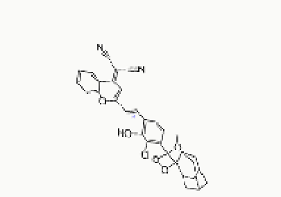 COC1(c2ccc(/C=C/C3=CC(=C(C#N)C#N)c4ccccc4O3)c(O)c2Cl)OOC12C1CC3CC(C1)CC2C3